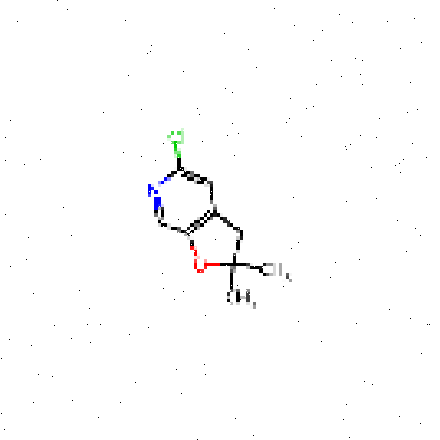 CC1(C)Cc2cc(Cl)ncc2O1